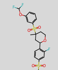 CC1(S(=O)(=O)c2cccc(OC(F)F)c2)CCOC(c2ccc(S(C)(=O)=O)cc2F)C1